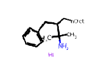 CCCCCCCCCC(Cc1ccccc1)C(C)(C)N.I